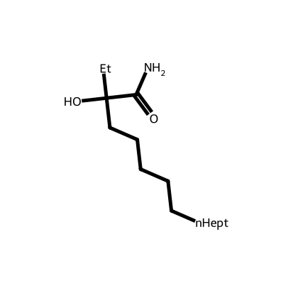 CCCCCCCCCCCCC(O)(CC)C(N)=O